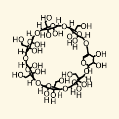 OCC1O[C@H]2O[C@@H]3C(CO)O[C@@H](O[C@@H]4C(CO)O[C@@H](O[C@@H]5C(CO)O[C@@H](O[C@@H]6C(CO)O[C@@H](O[C@@H]7C(CO)O[C@@H](OC8=CO[C@@H](O[C@H]1C(O)C2O)C(O)C8O)C(O)C7O)C(O)C6O)C(O)C5O)C(O)C4O)C(O)C3O